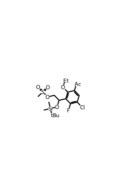 CCOc1c(C(C)=O)cc(Cl)c(F)c1C(COS(C)(=O)=O)O[Si](C)(C)C(C)(C)C